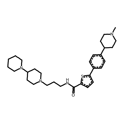 CN1CCC(c2ccc(-c3ccc(C(=O)NCCCN4CCC(N5CCCCC5)CC4)s3)cc2)CC1